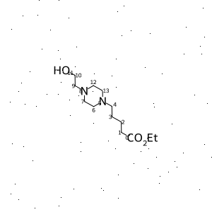 CCOC(=O)CCCCN1CCN(CCO)CC1